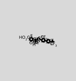 COc1cc(C(=O)O)c(F)cc1NS(=O)(=O)c1csc(-c2ccc(-c3ccc(C4(C(F)(F)F)CC4)cc3)cc2C(F)(F)F)n1